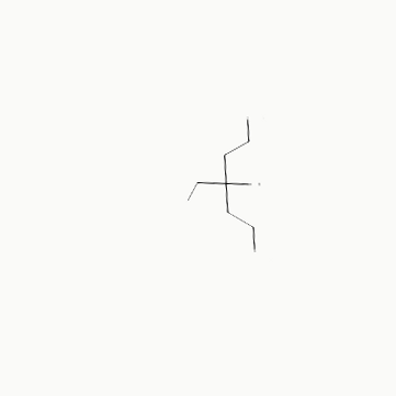 CCCC(O)([CH]O)CCC